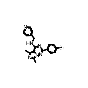 Cc1nc(C)n2nc(-c3ccc(Br)cc3)nc(NCc3ccncc3)c12